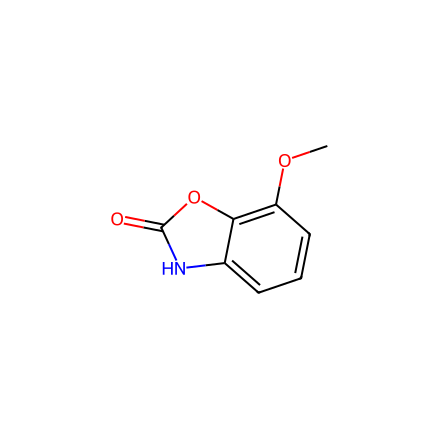 COc1cccc2[nH]c(=O)oc12